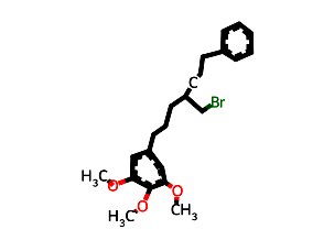 COc1cc(CCCC(CBr)CCCc2ccccc2)cc(OC)c1OC